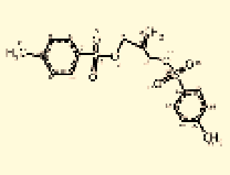 C=C(COS(=O)(=O)c1ccc(C)cc1)COS(=O)(=O)c1ccc(C)cc1